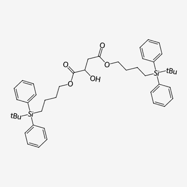 CC(C)(C)[Si](CCCCOC(=O)CC(O)C(=O)OCCCC[Si](c1ccccc1)(c1ccccc1)C(C)(C)C)(c1ccccc1)c1ccccc1